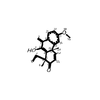 C=C1C(O)=C2[C@@](C)(CC)C(=O)C=C[C@@]2(C)c2cc(OC)ccc21